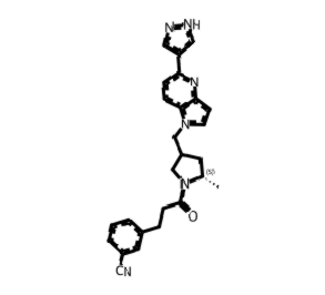 C[C@H]1CC(Cn2ccc3nc(-c4cn[nH]c4)ccc32)CN1C(=O)CCc1cccc(C#N)c1